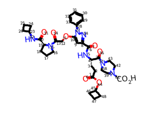 O=C(CC[C@H](NC(=O)c1cc(OCC(=O)N2CCC[C@H]2C(=O)NC2CCC2)n(-c2ccccc2)n1)C(=O)N1CCN(C(=O)O)CC1)OC1CCC1